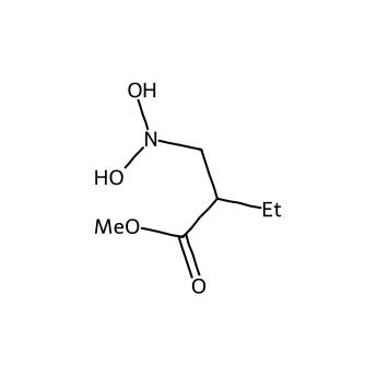 CCC(CN(O)O)C(=O)OC